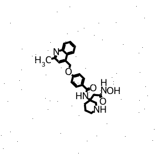 Cc1cc(COc2ccc(C(=O)NC3(CC(=O)NO)CCCNC3)cc2)c2ccccc2n1